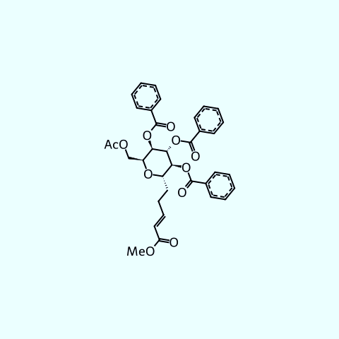 COC(=O)/C=C/CC[C@@H]1O[C@@H](COC(C)=O)[C@@H](OC(=O)c2ccccc2)[C@H](OC(=O)c2ccccc2)[C@H]1OC(=O)c1ccccc1